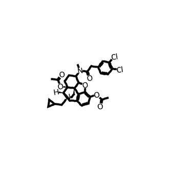 CC(=O)Oc1ccc2c3c1OC1C(N(C)C(=O)Cc4ccc(Cl)c(Cl)c4)CC[C@@]4(OC(C)=O)[C@@H](C2)N(CC2CC2)CC[C@]314